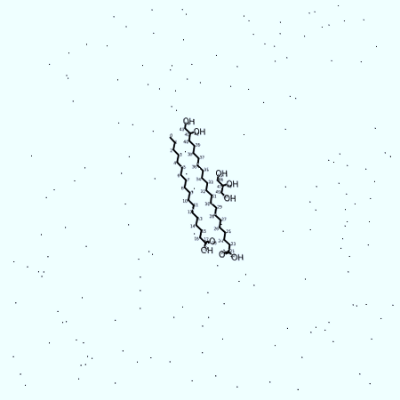 CCCCCCCCCCCCCCCCCC(=O)O.O=C(O)CCCCCCCCCCCCCCCCCCC(O)CO.OCC(O)CO